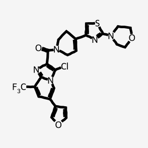 O=C(c1nc2c(C(F)(F)F)cc(-c3ccoc3)cn2c1Cl)N1CC=C(c2csc(N3CCOCC3)n2)CC1